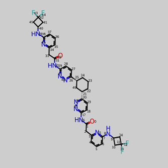 O=C(Cc1cccc(NC2CC(F)(F)C2)n1)Nc1ccc([C@H]2CCC[C@H](c3ccc(NC(=O)Cc4cccc(NC5CC(F)(F)C5)n4)nn3)C2)nn1